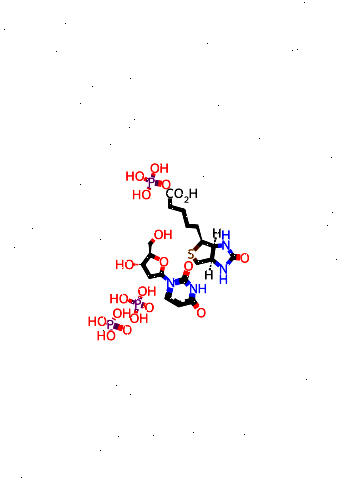 O=C(O)CCCC[C@@H]1SC[C@@H]2NC(=O)N[C@@H]21.O=P(O)(O)O.O=P(O)(O)O.O=P(O)(O)O.O=c1ccn(C2C[C@H](O)[C@@H](CO)O2)c(=O)[nH]1